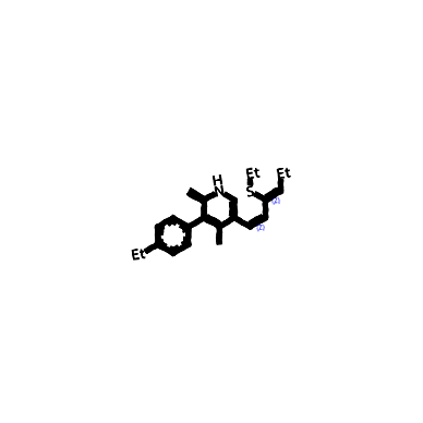 C=C1NC=C(/C=C\C(=C\CC)SCC)C(C)=C1c1ccc(CC)cc1